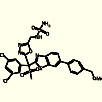 COCc1ccc(-c2ccc3nc(C(c4cc(Cl)cc(Cl)c4)(c4nnc(CNS(N)(=O)=O)o4)S(C)(=O)=O)sc3c2)cc1